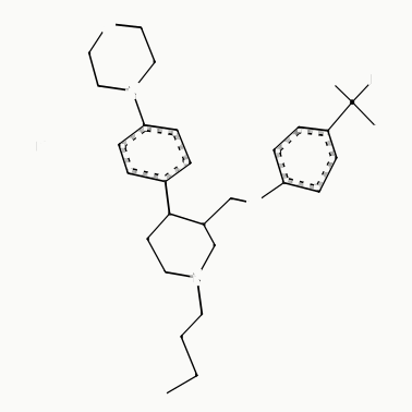 CCCCN1CCC(c2ccc(N3CCOCC3)cc2)C(COc2ccc(C(F)(F)F)cc2)C1.Cl